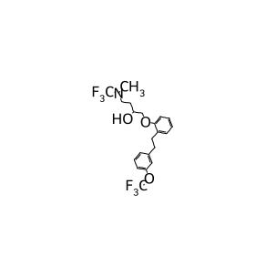 CN(CCC(O)COc1ccccc1CCc1cccc(OC(F)(F)F)c1)C(F)(F)F